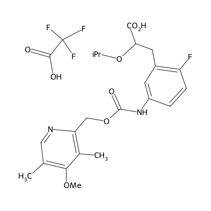 COc1c(C)cnc(COC(=O)Nc2ccc(F)c(CC(OC(C)C)C(=O)O)c2)c1C.O=C(O)C(F)(F)F